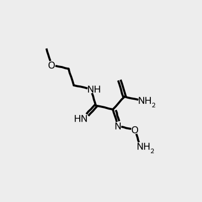 C=C(N)/C(=N\ON)C(=N)NCCOC